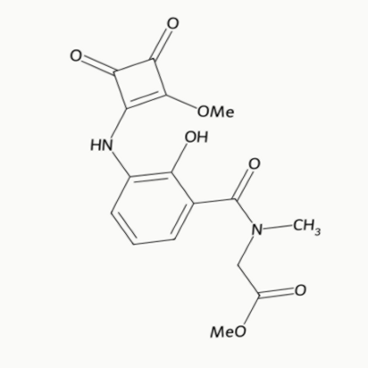 COC(=O)CN(C)C(=O)c1cccc(Nc2c(OC)c(=O)c2=O)c1O